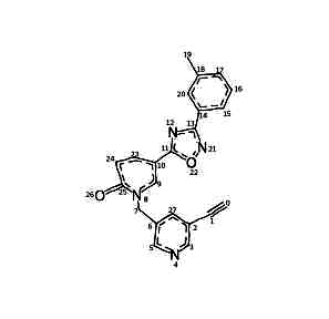 C#Cc1cncc(Cn2cc(-c3nc(-c4cccc(C)c4)no3)ccc2=O)c1